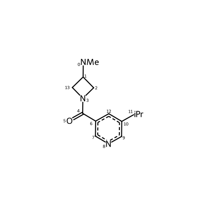 CNC1CN(C(=O)c2cncc(C(C)C)c2)C1